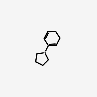 [CH]1C=C(N2CCCC2)C=CC1